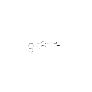 C=CC(=O)N1CC(c2nc(C#N)c3c(=O)n(-c4c(C)ccc5[nH]ncc45)c(C)nc3n2)C1